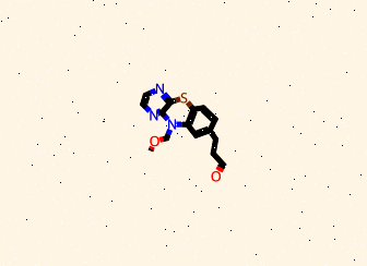 COCN1c2cc(CCC=O)ccc2Sc2nccnc21